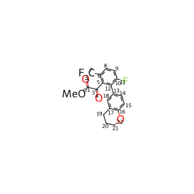 COC(=O)C(=O)c1c(C(F)(F)F)ccc(F)c1-c1ccc2c(c1)CCCO2